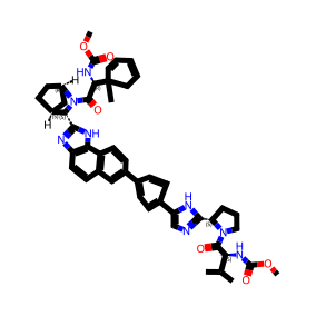 COC(=O)N[C@H](C(=O)N1CCC[C@H]1c1ncc(-c2ccc(-c3ccc4c(ccc5nc([C@@H]6[C@H]7CC[C@H](C7)N6C(=O)[C@H](NC(=O)OC)C6(C)C=CC=CC6)[nH]c54)c3)cc2)[nH]1)C(C)C